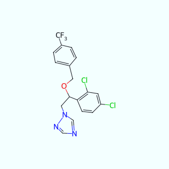 FC(F)(F)c1ccc(COC(Cn2cncn2)c2ccc(Cl)cc2Cl)cc1